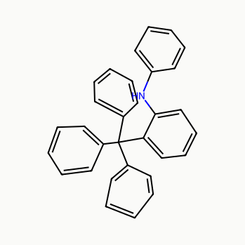 c1ccc(Nc2ccccc2C(c2ccccc2)(c2ccccc2)c2ccccc2)cc1